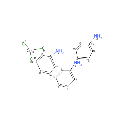 Nc1ccccc1.Nc1ccccc1.Nc1ccccc1.[Cl][Cr]([Cl])[Cl]